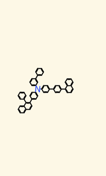 c1ccc(-c2cccc(N(c3ccc(-c4ccc(-c5cccc6ccccc56)cc4)cc3)c3ccc(-c4ccc5ccccc5c4-c4ccccc4)cc3)c2)cc1